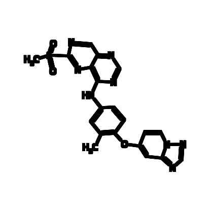 Cc1cc(Nc2ncnc3cnc(S(C)(=O)=O)nc23)ccc1Oc1ccn2ncnc2c1